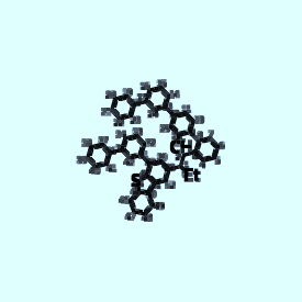 CCC(Cc1ccccc1-c1ccc(-c2cccc(-c3ccccc3)c2)cc1C)c1cc(-c2cccc(-c3ccccc3)c2)c2sc3ccccc3c2c1